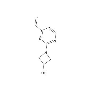 C=Cc1ccnc(N2CC(O)C2)n1